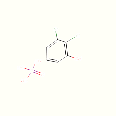 O=P(O)(O)O.Oc1cccc(Br)c1Cl